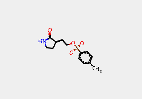 Cc1ccc(S(=O)(=O)OCCC2CCNC2=O)cc1